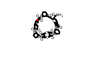 NC(=O)c1cc2c3cc1C(=O)C[C@H]1CCCC[C@@H]1N1C(=O)c4ccc5c6c(ccc(c46)C1=O)C(=O)N(C5=O)[C@H]1CCCC[C@@H]1n1c(=O)c4cc5c(=O)n(c(=O)c5cc4c1=O)[C@H]1CCCC[C@@H]1N(C2=O)C3=O